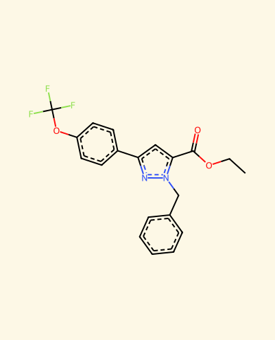 CCOC(=O)c1cc(-c2ccc(OC(F)(F)F)cc2)nn1Cc1ccccc1